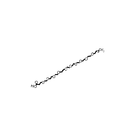 COCCOCCOCCOCCOCCOCCOCCOCCOCCOCCOCCC(=O)O